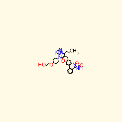 CCCc1c(Cc2ccc(-c3ccccc3-c3noc(=O)[nH]3)cc2)c(=O)n([C@H]2CC[C@@H](OCCO)CC2)c2ncnn12